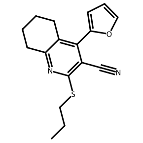 CCCSc1nc2c(c(-c3ccco3)c1C#N)CCCC2